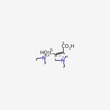 CN(C)C.CN(C)C.O=C(O)/C=C\C(=O)O